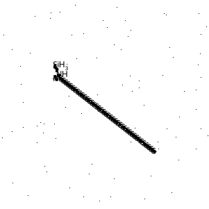 C=C=C=C=C=C=C=C=C=C=C=C=C=C=C=C=C=C=C=C=C=C=C=C=C=C=C=C=C=C=C=C=C=C=C=C=C=C=C=C=C=C(NCCC[SiH3])[N+](C)(C)C